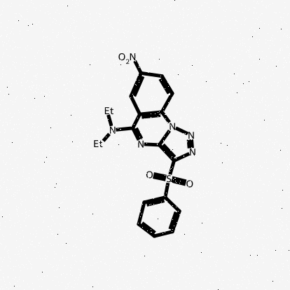 CCN(CC)c1nc2c(S(=O)(=O)c3ccccc3)nnn2c2ccc([N+](=O)[O-])cc12